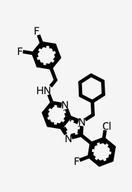 Fc1ccc(CNc2ccc3nc(-c4c(F)cccc4Cl)n(CC4CCCCC4)c3n2)cc1F